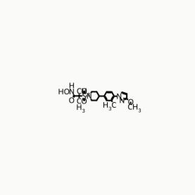 COc1ccn(-c2ccc(C3CCN(S(=O)(=O)C(C)(C)C(=O)NO)CC3)cc2C)n1